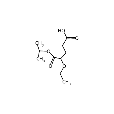 CCOC(CCC(=O)O)C(=O)OC(C)C